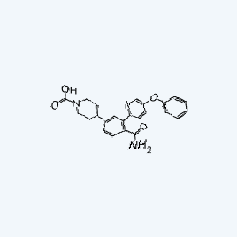 NC(=O)c1ccc(C2=CCN(C(=O)O)CC2)cc1-c1ccc(Oc2ccccc2)cn1